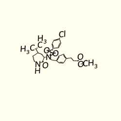 COC(=O)CCc1ccc(CN(C2CC(C(C)C)CCNC2=O)S(=O)(=O)c2ccc(Cl)cc2)cc1